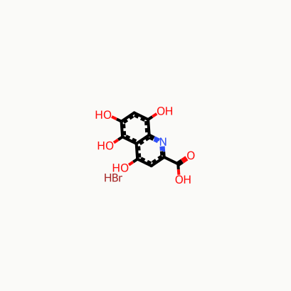 Br.O=C(O)c1cc(O)c2c(O)c(O)cc(O)c2n1